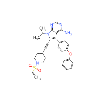 C=CS(=O)(=O)N1CCC(C#Cc2c(-c3ccc(Oc4ccccc4)cc3)c3c(N)ncnc3n2C(C)C)CC1